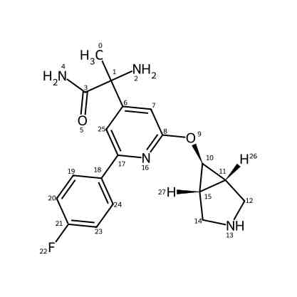 CC(N)(C(N)=O)c1cc(O[C@H]2[C@@H]3CNC[C@@H]32)nc(-c2ccc(F)cc2)c1